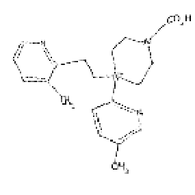 Cc1ccc([N+]2(CCc3ncccc3C)CCN(C(=O)O)CC2)nc1